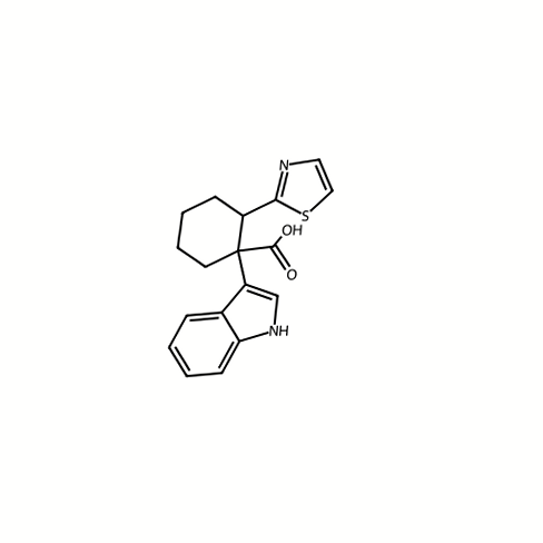 O=C(O)C1(c2c[nH]c3ccccc23)CCCCC1c1nccs1